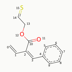 C=CC(=Cc1ccccc1)C(=O)OCC=S